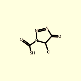 O=C1N=NN(C(=O)S)C1Cl